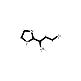 CC(=O)CCC(C)C1OCCO1